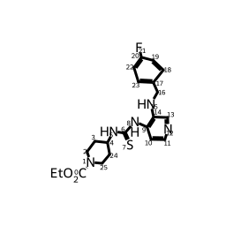 CCOC(=O)N1CCC(NC(=S)Nc2ccncc2NCc2ccc(F)cc2)CC1